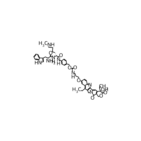 CCc1c2c(nc3ccc(OCCCNC(=O)OCc4ccc(NC(=O)[C@@H](CCCCNC)NC(=O)[C@@H](N)Cc5c[nH]c6ccccc56)cc4)cc13)-c1cc3c(c(=O)n1C2)COC(=O)[C@]3(O)CC